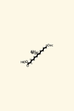 CCCCCCCCCCCCCCCCCCCCCC(=O)OO.[AlH3].[MgH2]